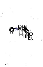 CCNC(=O)N1Cc2n[nH]c(NC(=O)/C=C/c3cccnc3)c2C1